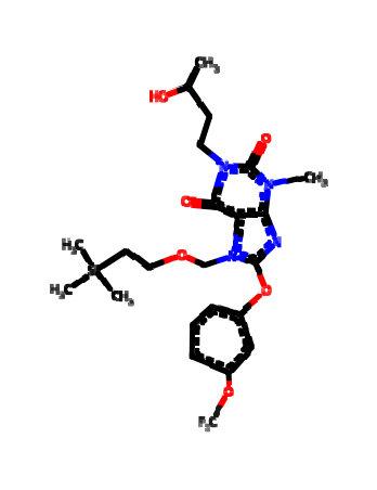 CC(O)CCn1c(=O)c2c(nc(Oc3cccc(OC(F)(F)F)c3)n2COCC[Si](C)(C)C)n(C)c1=O